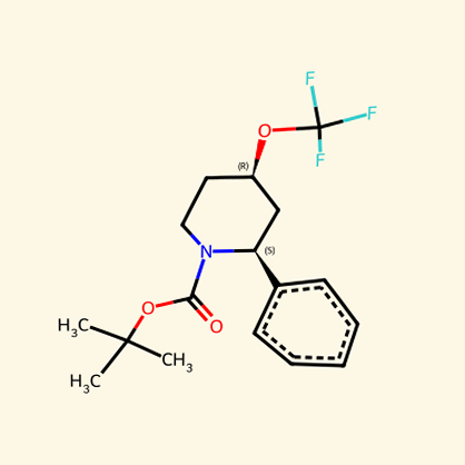 CC(C)(C)OC(=O)N1CC[C@@H](OC(F)(F)F)C[C@H]1c1ccccc1